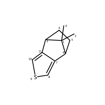 CC1(C)C2CCC1c1cscc12